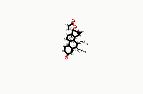 C[C@@H]1C2C(CC[C@@]3(C)C2C2CC2[C@@]32CCC(=O)O2)C2CCC(=O)C=C2[C@@H]1C